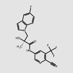 C[C@](O)(Cn1ccc2cc(F)ccc21)C(=O)Nc1cnc(C#N)c(C(F)(F)F)c1